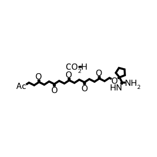 CC(=O)CCC(=O)CCC(=O)CCC(=O)CCC(=O)CCC(=O)CCOC1(C(=N)N)CCCC1.CC(=O)O